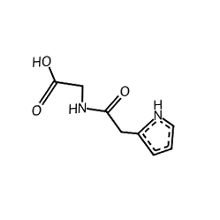 O=C(O)CNC(=O)Cc1ccc[nH]1